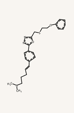 CN(C)CCC/C=C/c1ccc(-c2nnc(CSCCOc3ccccc3)o2)cc1